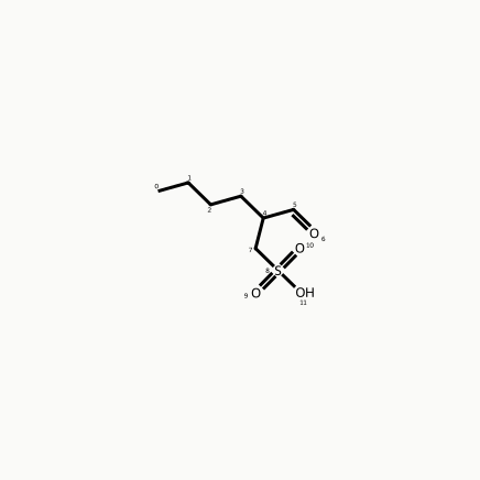 CCCCC(C=O)CS(=O)(=O)O